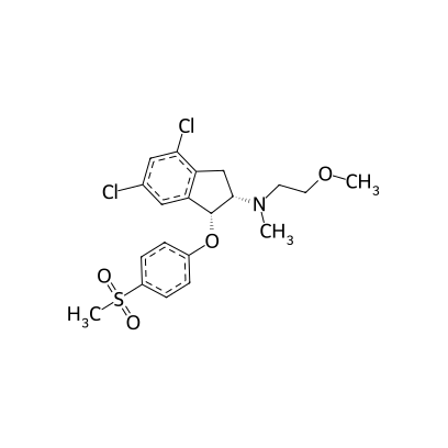 COCCN(C)[C@H]1Cc2c(Cl)cc(Cl)cc2[C@H]1Oc1ccc(S(C)(=O)=O)cc1